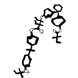 CCC(C)(C)Oc1ccc(C(C)(C)c2ccc(OC(=O)C(C)(CC)C(C)(CC)Oc3ccc(C4(c5ccc(OC(=O)C(C)(C)CC)cc5)CCCCC4)cc3)cc2)cc1